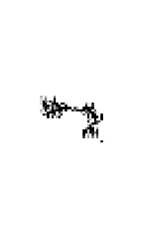 CC(OC(=O)CN)C(=O)OC(C)C(=O)OCCCCCCOC(=O)C(C)OC(=O)C(C)OC(=O)CN